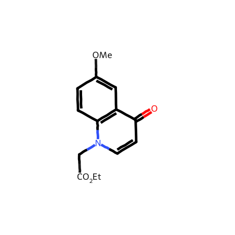 CCOC(=O)Cn1ccc(=O)c2cc(OC)ccc21